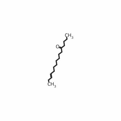 CCC=CCCCCCCCC(=O)CCCC